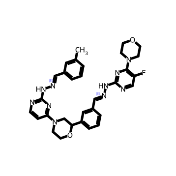 Cc1cccc(/C=N/Nc2nccc(N3CCOC(c4cccc(/C=N/Nc5ncc(F)c(N6CCOCC6)n5)c4)C3)n2)c1